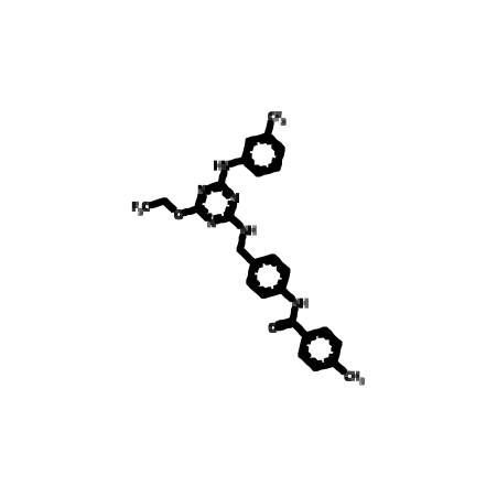 Cc1ccc(C(=O)Nc2ccc(CNc3nc(Nc4cccc(C(F)(F)F)c4)nc(OCC(F)(F)F)n3)cc2)cc1